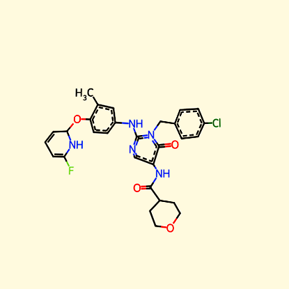 Cc1cc(Nc2ncc(NC(=O)C3CCOCC3)c(=O)n2Cc2ccc(Cl)cc2)ccc1OC1C=CC=C(F)N1